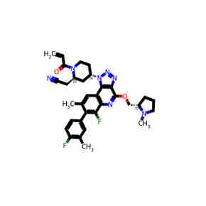 C=CC(=O)N1CC[C@H](n2nnc3c(OC[C@@H]4CCCN4C)nc4c(F)c(-c5ccc(F)c(C)c5)c(C)cc4c32)C[C@H]1CC#N